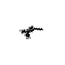 CCCCCCCCN1CCN(C(=O)NC(C(=O)NC2CNC2=O)c2ccc(O)cc2)C(=O)C1=O